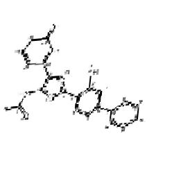 CC(=O)Nc1oc(-c2ccc(-c3ccccc3)cc2O)nc1C1=CC(=S)CC=C1